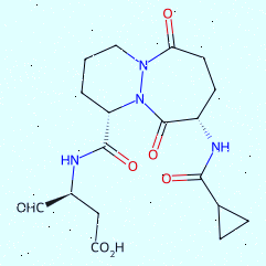 O=C[C@H](CC(=O)O)NC(=O)[C@@H]1CCCN2C(=O)CC[C@H](NC(=O)C3CC3)C(=O)N12